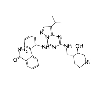 CC(C)c1cnn2c(Nc3ccccc3-c3ccccc3C(N)=O)nc(NC[C@H]3CCNC[C@@H]3O)nc12